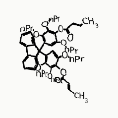 CC=CC(=O)Oc1c(OCCC)cc(C2(c3cc(OCCC)c(OC(=O)C=CC)c(OCCC)c3OCCC)c3ccccc3-c3ccccc32)c(OCCC)c1OCCC